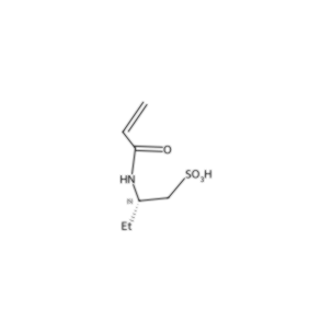 C=CC(=O)N[C@@H](CC)CS(=O)(=O)O